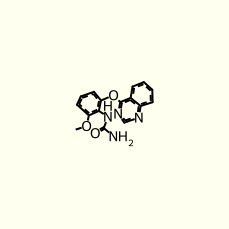 COc1cccc(Oc2ncnc3ccccc23)c1NC(N)=O